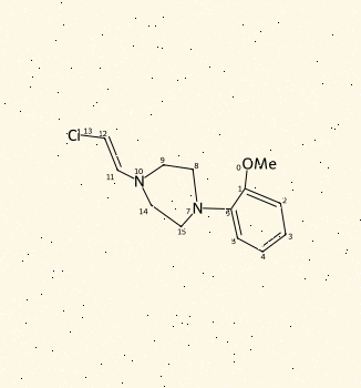 COc1ccccc1N1CCN(C=CCl)CC1